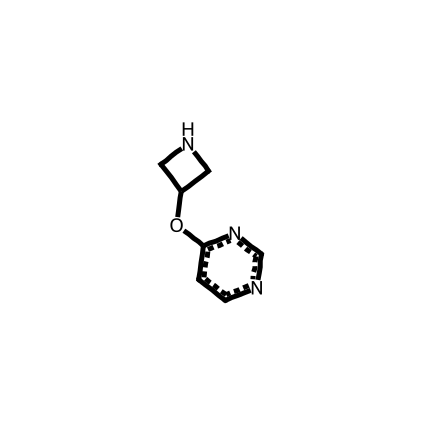 c1cc(OC2CNC2)ncn1